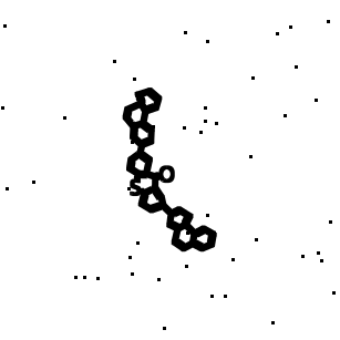 O=c1c2cc(-c3ccc4c(ccc5ccccc54)c3)ccc2sc2ccc(-c3ccc4c(ccc5ccccc54)c3)cc12